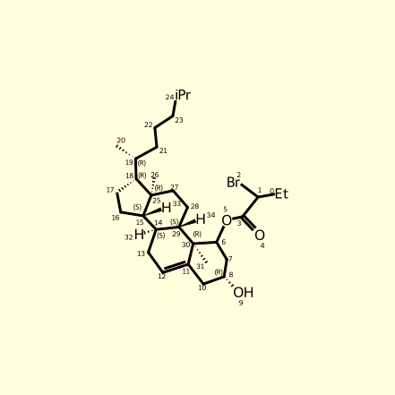 CCC(Br)C(=O)OC1C[C@H](O)CC2=CC[C@H]3[C@@H]4CC[C@H]([C@H](C)CCCC(C)C)[C@@]4(C)CC[C@@H]3[C@]21C